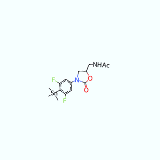 CC(=O)NCC1CN(c2cc(F)[c]([Sn]([CH3])([CH3])[CH3])c(F)c2)C(=O)O1